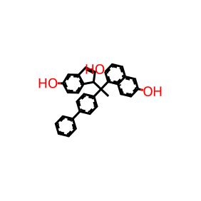 CC(c1ccc(-c2ccccc2)cc1)(c1c(O)ccc2cc(O)ccc12)C1C=Cc2cc(O)ccc21